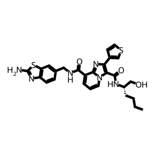 CCCC[C@@H](CO)NC(=O)c1c(-c2ccsc2)nc2c(C(=O)NCc3ccc4nc(N)sc4c3)cccn12